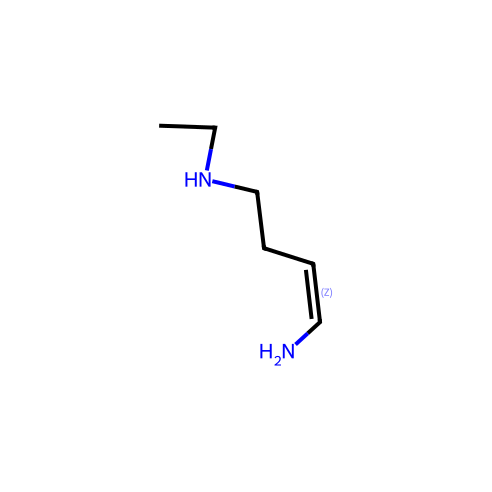 CCNCC/C=C\N